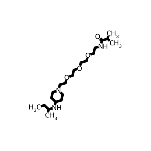 CCC(C)NC1CCN(CCOCCOCCOCCNC(=O)C(C)C)CC1